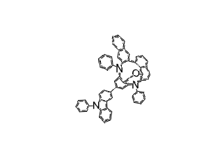 c1ccc(-n2c3ccccc3c3cc(-c4cc5c6oc7c8c(cccc8c8cc9ccccc9cc8n5-c5ccccc5)ccc7n(-c5ccccc5)c6c4)ccc32)cc1